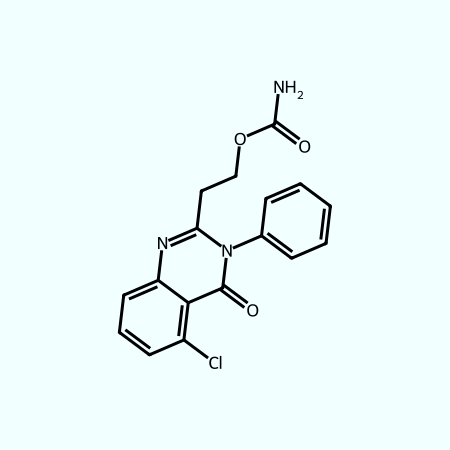 NC(=O)OCCc1nc2cccc(Cl)c2c(=O)n1-c1ccccc1